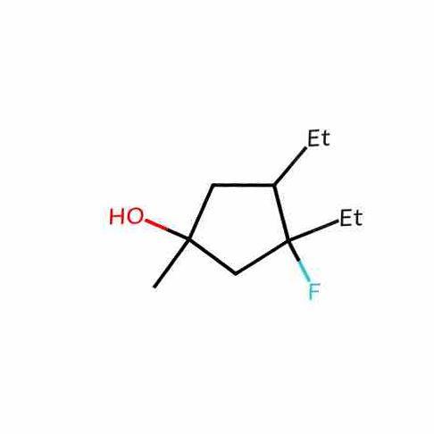 CCC1CC(C)(O)CC1(F)CC